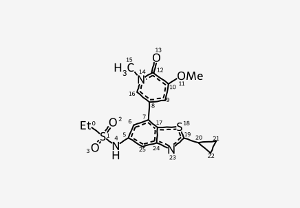 CCS(=O)(=O)Nc1cc(-c2cc(OC)c(=O)n(C)c2)c2sc(C3CC3)nc2c1